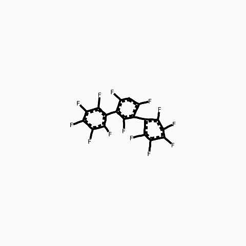 Fc1[c]c(F)c(-c2c(F)c(F)c(F)c(F)c2F)c(F)c1-c1c(F)c(F)c(F)c(F)c1F